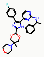 CC(Nc1nccc(-c2[nH]c(C3OCC(C)(N4CCOCC4)CO3)nc2-c2ccc(F)cc2)n1)c1ccccc1